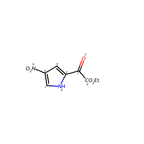 CCOC(=O)C(=O)c1cc([N+](=O)[O-])c[nH]1